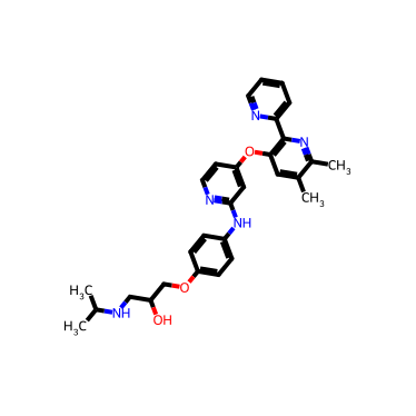 Cc1cc(Oc2ccnc(Nc3ccc(OCC(O)CNC(C)C)cc3)c2)c(-c2ccccn2)nc1C